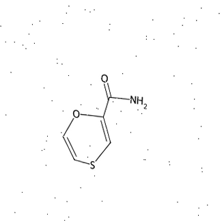 NC(=O)C1=CSC=CO1